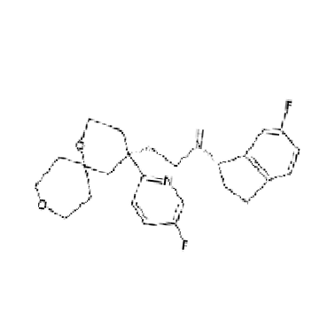 Fc1ccc([C@]2(CCN[C@H]3CCc4ccc(F)cc43)CCOC3(CCOCC3)C2)nc1